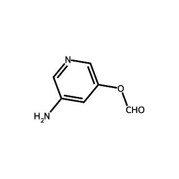 Nc1cncc(OC=O)c1